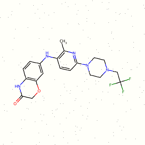 Cc1nc(N2CCN(CC(F)(F)F)CC2)ccc1Nc1ccc2c(c1)OCC(=O)N2